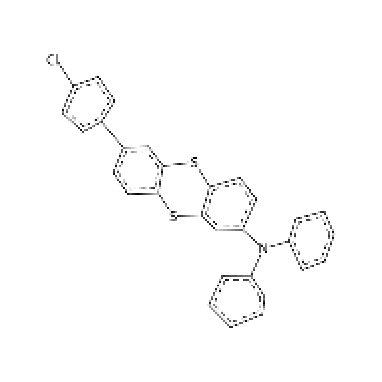 Clc1ccc(-c2ccc3c(c2)Sc2ccc(N(c4ccccc4)c4ccccc4)cc2S3)cc1